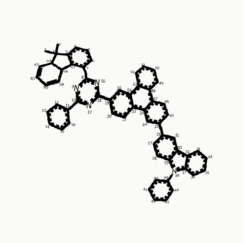 CC1(C)c2cccc(-c3nc(-c4ccccc4)nc(-c4ccc5c6cc(-c7ccc8c(c7)c7ccccc7n8-c7ccccc7)ccc6c6ccccc6c5c4)n3)c2C2C=CC=CC21